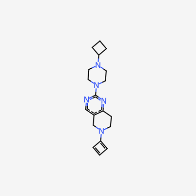 C1=CC(N2CCc3nc(N4CCN(C5CCC5)CC4)ncc3C2)=C1